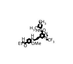 CCNC(=O)c1ccc(NCC#Cc2cc(C(=O)N[C@H]3CCN(C)C[C@@H]3C)c3ncn(CC(F)(F)F)c3c2)c(OC)c1